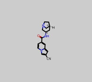 N#Cc1cc2cc(C(=O)N[C@@H]3C[C@@H]4CCN(C4)C3)ccn2c1